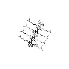 CC(C)CCCCCN(CCCCCC(C)C)C(=S)[S-].CC(C)CCCCCN(CCCCCC(C)C)C(=S)[S-].CC(C)CCCCCN(CCCCCC(C)C)C(=S)[S-].CC(C)CCCCCN(CCCCCC(C)C)C(=S)[S-].[Mo+4]